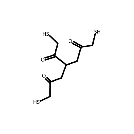 O=C(CS)CC(CC(=O)CS)C(=O)CS